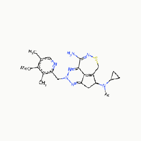 COc1c(C)cnc(CN2N=C3CC(N(C(C)=O)C4CC4)C4=C3C(=N2)C(N)=NSC4)c1C